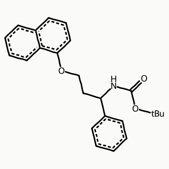 CC(C)(C)OC(=O)NC(CCOc1cccc2ccccc12)c1ccccc1